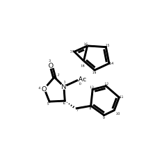 CC(=O)N1C(=O)OC[C@H]1Cc1ccccc1.c1cc2cc-2c1